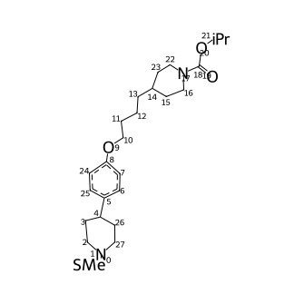 CSN1CCC(c2ccc(OCCCCC3CCN(C(=O)OC(C)C)CC3)cc2)CC1